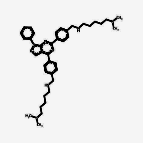 CN(C)CCCCCNCc1ccc(-c2nc(-c3ccc(CNCCCCCN(C)C)cc3)c3cnn(-c4ccccc4)c3n2)cc1